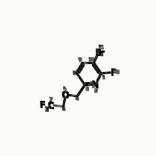 Fc1nc(COCC(F)(F)F)ccc1Br